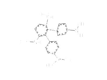 CNc1ccc(C)c(-c2ccc(N(C)C)cc2)c1-c1ccc(N(C)C)cc1.Cl